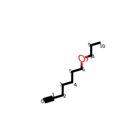 C#CCCCCCO[CH]CC